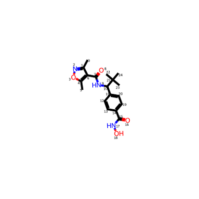 Cc1noc(C)c1C(=O)NC(c1ccc(C(=O)NO)cc1)C(C)(C)C